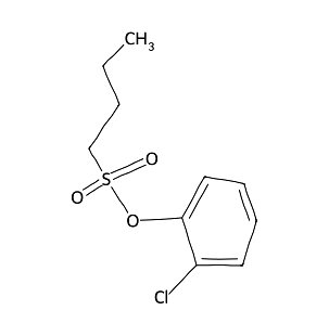 CCCCS(=O)(=O)Oc1ccccc1Cl